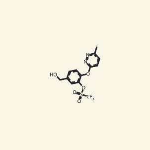 Cc1ccc(Oc2ccc(CO)cc2OS(=O)(=O)C(F)(F)F)nn1